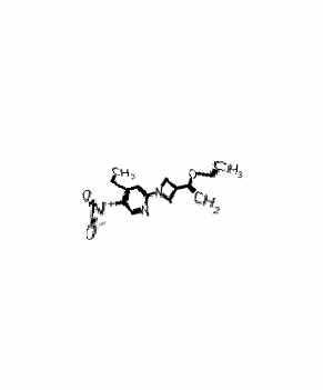 C=C(OCC)C1CN(c2cc(CC)c([N+](=O)[O-])cn2)C1